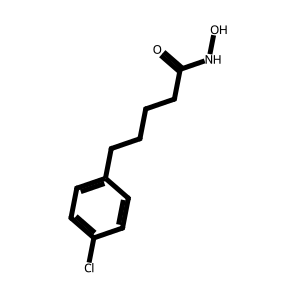 O=C(CCCCc1ccc(Cl)cc1)NO